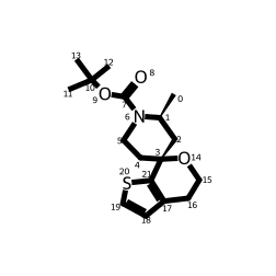 C[C@H]1C[C@@]2(CCN1C(=O)OC(C)(C)C)OCCc1ccsc12